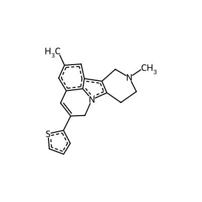 Cc1cc2c3c(c1)c1c(n3CC(c3cccs3)=C2)CCN(C)C1